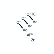 CC(=O)[O-].CC(=O)[O-].CC(=O)[O-].Cl.[Al+3].[Zr]